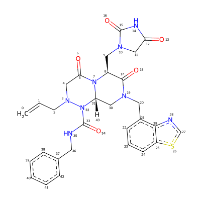 C=CCN1CC(=O)N2[C@@H](CN3CC(=O)NC3=O)C(=O)N(Cc3cccc4scnc34)C[C@@H]2N1C(=O)NCc1ccccc1